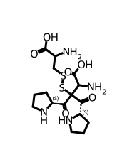 NC(CSSC(C(=O)[C@@H]1CCCN1)(C(=O)[C@@H]1CCCN1)C(N)C(=O)O)C(=O)O